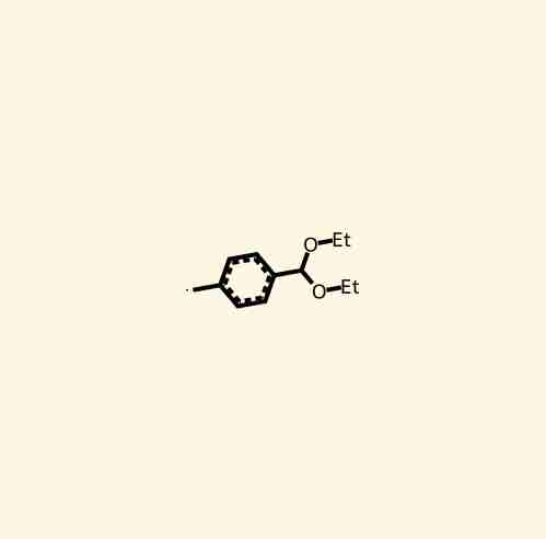 [CH2]c1ccc(C(OCC)OCC)cc1